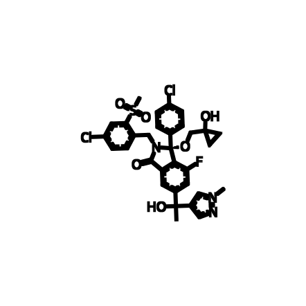 Cn1cc(C(C)(O)c2cc(F)c3c(c2)C(=O)N(Cc2ccc(Cl)cc2S(C)(=O)=O)[C@@]3(OCC2(O)CC2)c2ccc(Cl)cc2)cn1